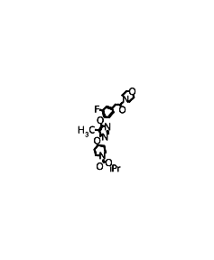 Cc1c(Oc2ccc(CC(=O)N3CCOCC3)cc2F)ncnc1OC1CCN(C(=O)OC(C)C)CC1